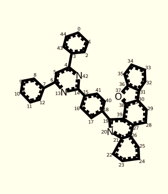 c1ccc(-c2cc(-c3ccccc3)nc(-c3ccc(-c4nc5ccccc5c5ccc6c7ccccc7oc6c45)cc3)n2)cc1